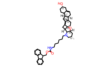 C[C@H]1C[C@H]2O[C@@]34CC[C@@H]5C(=C3C[C@@H]4C2N(CCCCCCNC(=O)OCC2c3ccccc3-c3ccccc32)C1)C[C@H]1[C@H]5CC=C2C[C@@H](O)CC[C@@]21C